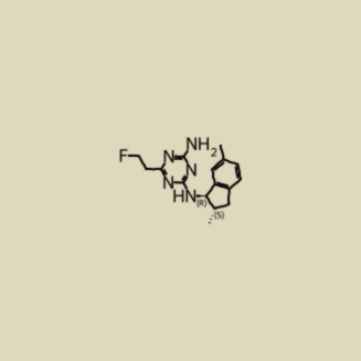 Cc1ccc2c(c1)[C@H](Nc1nc(N)nc(CCF)n1)[C@@H](C)C2